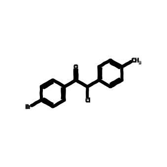 Cc1ccc(C(Cl)C(=O)c2ccc(Br)cc2)cc1